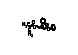 C=C(C)C(=O)OCCOCC(OC1=CCCC1)OC1=CCCC1